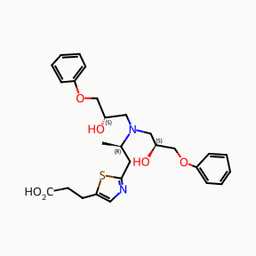 C[C@H](Cc1ncc(CCC(=O)O)s1)N(C[C@H](O)COc1ccccc1)C[C@H](O)COc1ccccc1